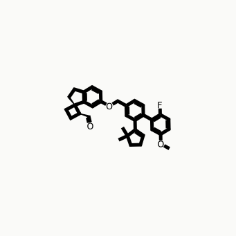 COc1ccc(F)c(-c2ccc(COc3ccc4c(c3)[C@@]3(CC4)CC[C@@H]3C=O)cc2C2=CCCC2(C)C)c1